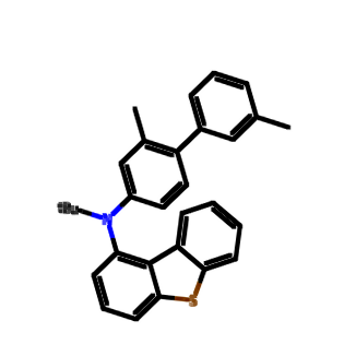 Cc1cccc(-c2ccc(N(c3cccc4sc5ccccc5c34)C(C)(C)C)cc2C)c1